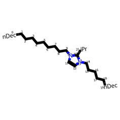 CCCCCCCCCCCCCCCCCCCN1C=CN(CCCCCCCCCCCCCCC)C1C(C)C